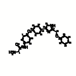 NCC(=O)Nc1ccc(Oc2ccc(-c3c[nH]c(COc4ccccc4)n3)cc2)cc1